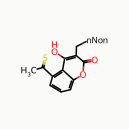 CCCCCCCCCCc1c(O)c2c(C(C)=S)cccc2oc1=O